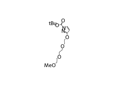 COCCOCCOCCOc1ccn(C(=O)OC(C)(C)C)n1